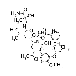 CCC(OC)Oc1cc(C[C@@H](C[C@H]2[C@H](C[C@H](C(=O)NCC(C)(C)C(N)=O)C(C)C)OC(C)(OC(=O)c3ccccn3)N2C(=O)O)C(C)C)ccc1OC